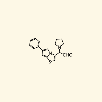 O=CC(c1csc2cc(-c3ccccc3)cn12)N1CCCC1